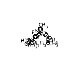 Cc1ccn2c(C[C@H]3CN(C(=O)OC(C)(C)C)CCO3)c(-c3c(F)cc(C(=O)NC(C)(C)C(N)=O)cc3F)nc2c1